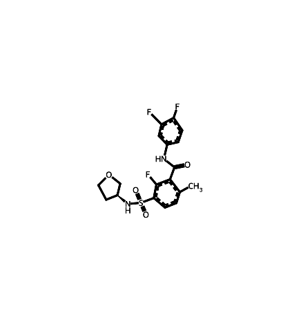 Cc1ccc(S(=O)(=O)N[C@H]2CCOC2)c(F)c1C(=O)Nc1ccc(F)c(F)c1